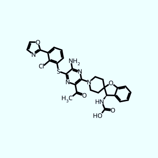 CC(=O)c1nc(Sc2cccc(-c3ncco3)c2Cl)c(N)nc1N1CCC2(CC1)Oc1ccccc1[C@H]2NC(=O)O